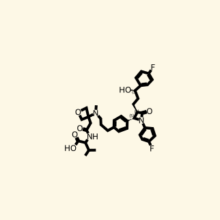 CC(C)C(NC(=O)CC1(N(C)CCCc2ccc([C@@H]3[C@@H](CC[C@H](O)c4ccc(F)cc4)C(=O)N3c3ccc(F)cc3)cc2)COC1)C(=O)O